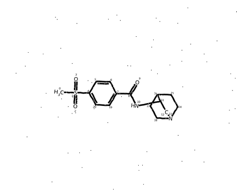 CS(=O)(=O)c1ccc(C(=O)NC2CN3CCC2CC3)cc1